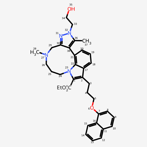 CCOC(=O)c1c(CCCOc2cccc3ccccc23)c2cccc3c2n1CCCN(C)Cc1nn(CCO)c(C)c1-3